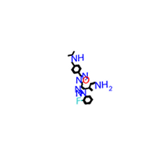 C=C(/C=C\N)c1c(-c2nc(-c3ccc(CNC(C)C)cc3)no2)nnn1-c1ccccc1F